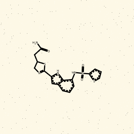 NC(=O)CC1CN=C(c2cc3cccc(NS(=O)(=O)c4cccs4)c3[nH]2)S1